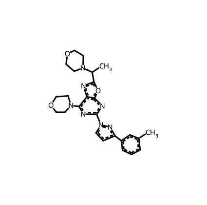 Cc1cccc(-c2ccn(-c3nc(N4CCOCC4)c4nc(C(C)N5CCOCC5)oc4n3)n2)c1